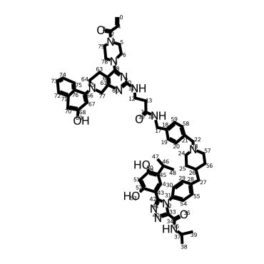 C=CC(=O)N1CCN(c2nc(NCCC(=O)NCc3ccc(CN4CCC(Cc5ccc(-n6c(C(=O)NC(C)C)nnc6-c6cc(C(C)C)c(O)cc6O)cc5)CC4)cc3)nc3c2CCN(c2cc(O)cc4ccccc24)C3)CC1